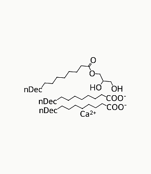 CCCCCCCCCCCCCCCCCC(=O)OCC(O)CO.CCCCCCCCCCCCCCCCCC(=O)[O-].CCCCCCCCCCCCCCCCCC(=O)[O-].[Ca+2]